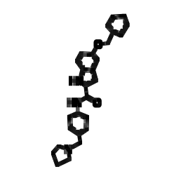 O=C(Nc1ccc(CN2CCCC2)cc1)c1cc2cc(OCc3ccccc3)ccc2[nH]1